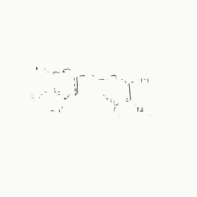 CCCc1cc(Cc2cc(C)c(N)c(CCC)c2)cc(C)c1N